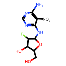 Nc1ncnc(NC2OC(CO)C(O)C2F)c1[N+](=O)[O-]